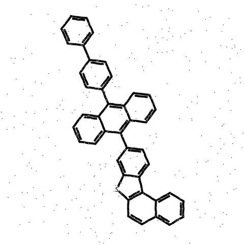 c1ccc(-c2ccc(-c3c4ccccc4c(-c4ccc5c(c4)sc4ccc6ccccc6c45)c4ccccc34)cc2)cc1